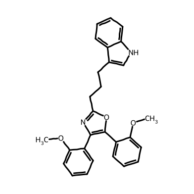 COc1ccccc1-c1nc(CCCc2c[nH]c3ccccc23)oc1-c1ccccc1OC